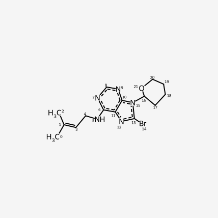 CC(C)=CCNc1ncnc2c1nc(Br)n2C1CCCCO1